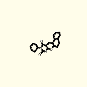 O=c1nc2oc3ccc4ccccc4c3cc-2c(=O)n1-c1ccccc1